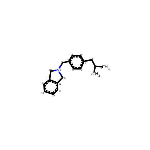 CC(C)Cc1ccc(CN2Cc3ccccc3C2)cc1